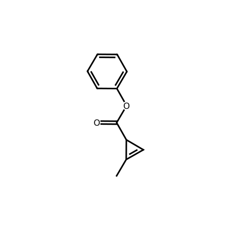 CC1=CC1C(=O)Oc1ccccc1